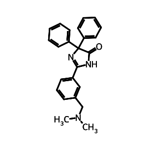 CN(C)Cc1cccc(C2=NC(c3ccccc3)(c3ccccc3)C(=O)N2)c1